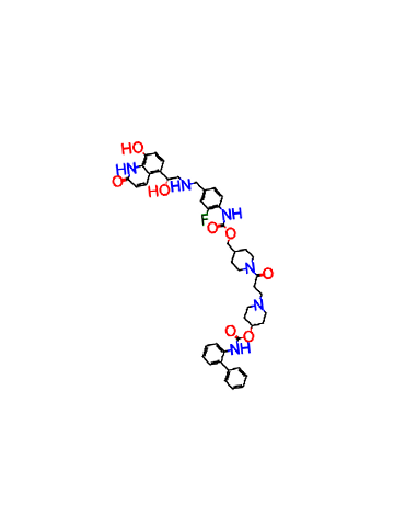 O=C(Nc1ccc(CNC[C@H](O)c2ccc(O)c3[nH]c(=O)ccc23)cc1F)OCC1CCN(C(=O)CCN2CCC(OC(=O)Nc3ccccc3-c3ccccc3)CC2)CC1